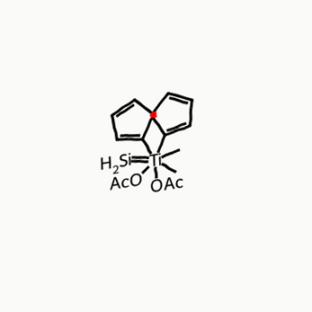 CC(=O)[O][Ti]([CH3])([CH3])(=[SiH2])([O]C(C)=O)([C]1=CC=CC1)[C]1=CC=CC1